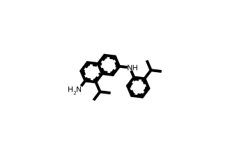 CC(C)c1ccccc1Nc1ccc2ccc(N)c(C(C)C)c2c1